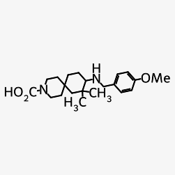 COc1ccc(CNC2CCC3(CCN(C(=O)O)CC3)CC2(C)C)cc1